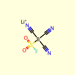 N#C[B-](C#N)(C#N)S(=O)(=O)F.[Li+]